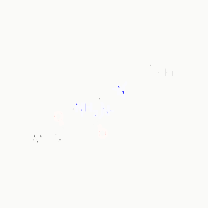 COC(=O)CC(N)C(=O)N1CCN(CCCC(C)C)CC1